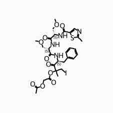 COC[C@H](NC(=O)c1cnc(C)s1)C(=O)N[C@@H](COC)C(=O)N[C@@H](Cc1ccccc1)C(=O)C(C)(CI)OC(=O)COC(C)=O